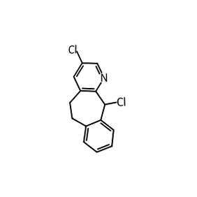 Clc1cnc2c(c1)CCc1ccccc1C2Cl